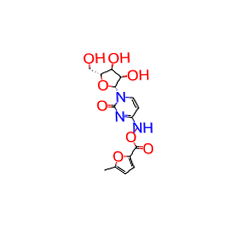 Cc1ccc(C(=O)ONc2ccn([C@@H]3O[C@H](CO)[C@@H](O)[C@H]3O)c(=O)n2)o1